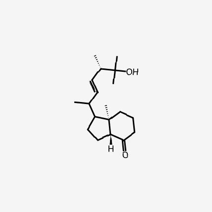 CC(/C=C/[C@H](C)C(C)(C)O)C1CC[C@H]2C(=O)CCC[C@]12C